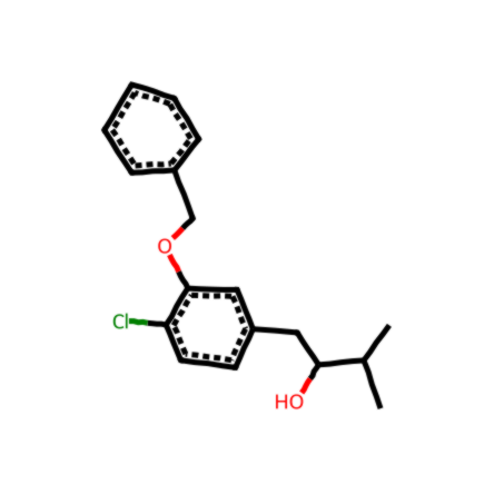 CC(C)C(O)Cc1ccc(Cl)c(OCc2ccccc2)c1